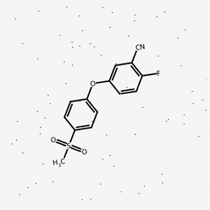 CS(=O)(=O)c1ccc(Oc2ccc(F)c(C#N)c2)cc1